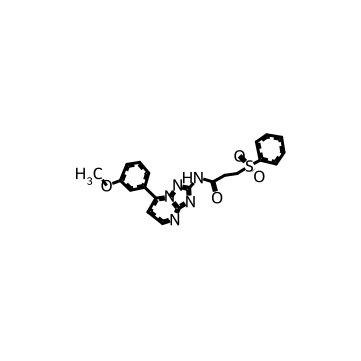 COc1cccc(-c2ccnc3nc(NC(=O)CCS(=O)(=O)c4ccccc4)nn23)c1